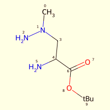 CN(N)CC(N)C(=O)OC(C)(C)C